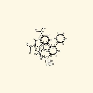 CC1=Cc2c(-c3ccccc3)ccc(C)c2[CH]1[Zr]([CH3])([CH3])(=[SiH2])[CH]1C(C(C)C)=Cc2c(C(C)C)ccc(C)c21.Cl.Cl